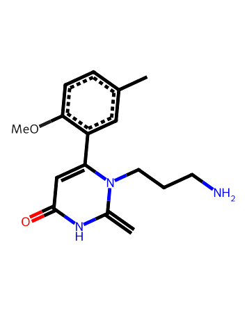 C=C1NC(=O)C=C(c2cc(C)ccc2OC)N1CCCN